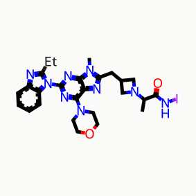 CCc1nc2ccccc2n1-c1nc(N2CCOCC2)c2nc(CC3CN(C(C)C(=O)NI)C3)n(C)c2n1